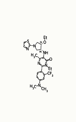 CCO[C@H]1CN(c2nccs2)C[C@H]1Nc1c(C)nc(-c2ccc(N(C)C)cc2C(F)(F)F)n(CC)c1=O